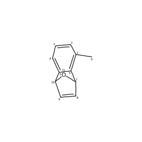 Cc1cccc2c1C1C=CC2O1